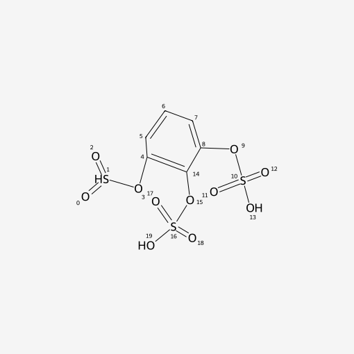 O=[SH](=O)Oc1cccc(OS(=O)(=O)O)c1OS(=O)(=O)O